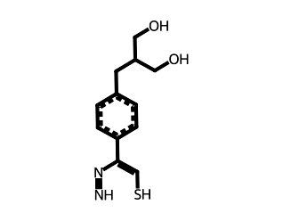 N=N/C(=C\S)c1ccc(CC(CO)CO)cc1